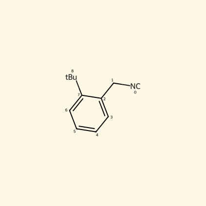 [C-]#[N+]Cc1ccccc1C(C)(C)C